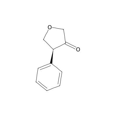 O=C1COC[C@@H]1c1ccccc1